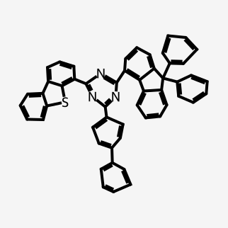 c1ccc(-c2ccc(-c3nc(-c4cccc5c4-c4ccccc4C5(c4ccccc4)c4ccccc4)nc(-c4cccc5c4sc4ccccc45)n3)cc2)cc1